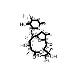 CC[C@@H](O)[C@@](C)(O)[C@@H]1OC(=O)[C@H](C)[C@@H](O)[C@H](C)[C@@H](O[C@@H]2OC(C)CC(N)C2O)[C@@]2(C)CC(C)C(O2)[C@@H]1C